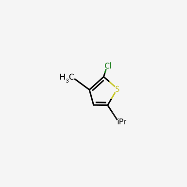 Cc1cc(C(C)C)sc1Cl